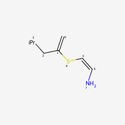 C=C(CC(C)C)S/C=C\N